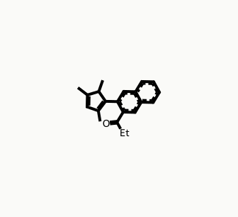 CCC(=O)c1cc2ccccc2cc1C1=C(C)C=C(C)C1C